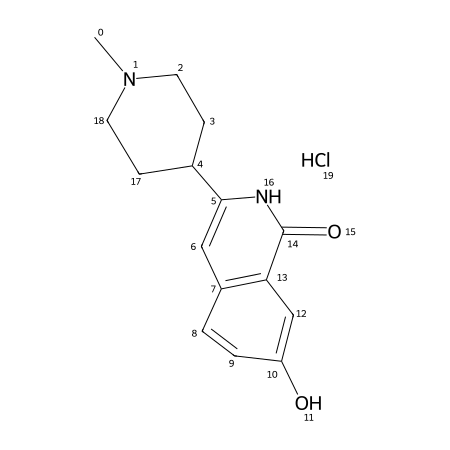 CN1CCC(c2cc3ccc(O)cc3c(=O)[nH]2)CC1.Cl